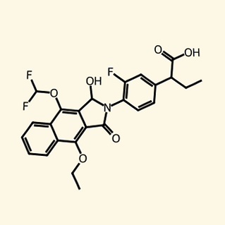 CCOc1c2c(c(OC(F)F)c3ccccc13)C(O)N(c1ccc(C(CC)C(=O)O)cc1F)C2=O